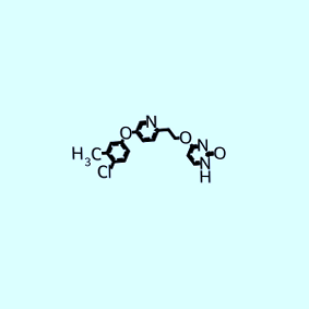 Cc1cc(Oc2ccc(CCOc3cc[nH]c(=O)n3)nc2)ccc1Cl